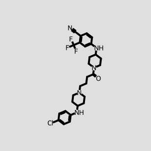 N#Cc1ccc(NC2CCN(C(=O)CCCN3CCC(Nc4ccc(Cl)cc4)CC3)CC2)cc1C(F)(F)F